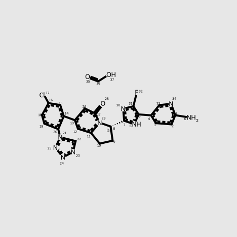 Nc1ccc(-c2[nH]c([C@@H]3CCc4cc(-c5cc(Cl)ccc5-n5cnnn5)cc(=O)n43)nc2F)cn1.O=CO